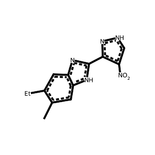 CCc1cc2nc(-c3n[nH]cc3[N+](=O)[O-])[nH]c2cc1C